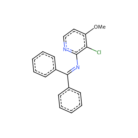 COc1ccnc(N=C(c2ccccc2)c2ccccc2)c1Cl